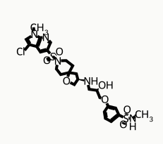 CNS(=O)(=O)c1cccc(OC[C@@H](O)CN[C@H]2COC3(CCN(S(=O)(=O)c4cnc5c(c4)c(Cl)cn5C)CC3)C2)c1